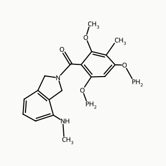 CNc1cccc2c1CN(C(=O)c1c(OP)cc(OP)c(C)c1OC)C2